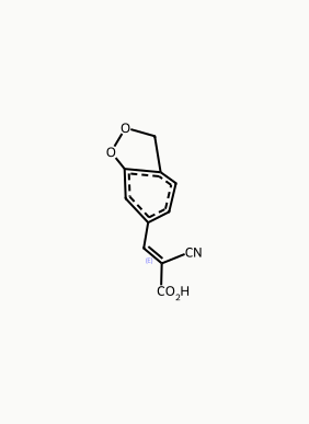 N#C/C(=C\c1ccc2c(c1)OOC2)C(=O)O